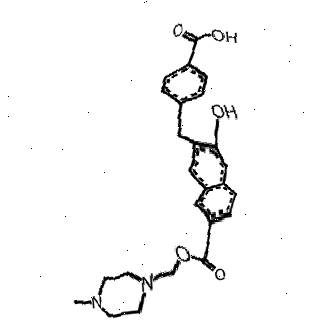 CN1CCN(COC(=O)c2ccc3cc(O)c(Cc4ccc(C(=O)O)cc4)cc3c2)CC1